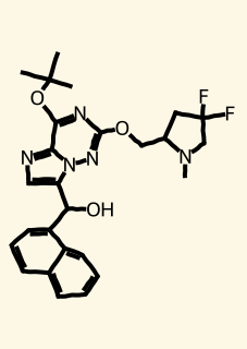 CN1CC(F)(F)CC1COc1nc(OC(C)(C)C)c2ncc(C(O)c3cccc4ccccc34)n2n1